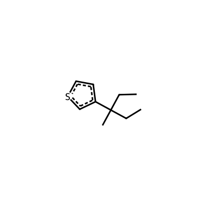 CCC(C)(CC)c1ccsc1